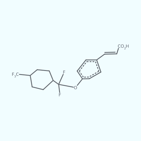 O=C(O)C=Cc1ccc(OC(F)(F)C2CCC(C(F)(F)F)CC2)cc1